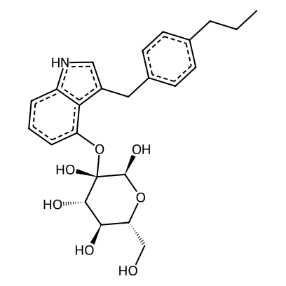 CCCc1ccc(Cc2c[nH]c3cccc(O[C@]4(O)[C@@H](O)O[C@H](CO)[C@@H](O)[C@@H]4O)c23)cc1